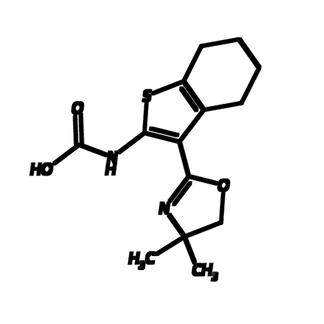 CC1(C)COC(c2c(NC(=O)O)sc3c2CCCC3)=N1